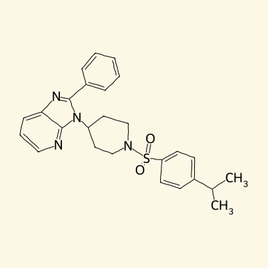 CC(C)c1ccc(S(=O)(=O)N2CCC(n3c(-c4ccccc4)nc4cccnc43)CC2)cc1